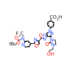 CC(C)(C)OC(=O)N(CC(F)(F)F)c1cc(-c2nc(C(=O)Nc3cn(-c4ccc(C(=O)O)cc4)nc3N3CCN(CCO)C3=O)co2)ccn1